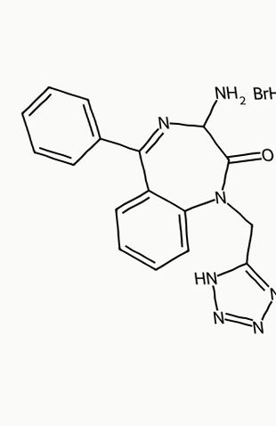 Br.NC1N=C(c2ccccc2)c2ccccc2N(Cc2nnn[nH]2)C1=O